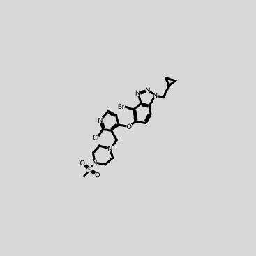 CS(=O)(=O)N1CCN(Cc2c(Oc3ccc4c(nnn4CC4CC4)c3Br)ccnc2Cl)CC1